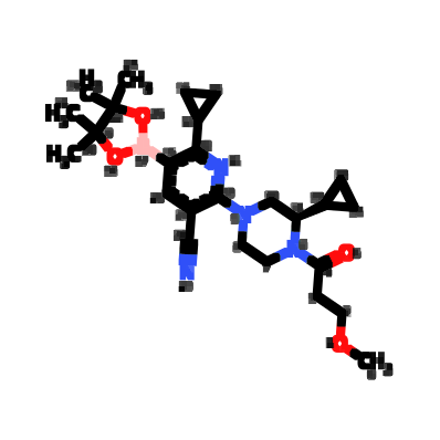 COCCC(=O)N1CCN(c2nc(C3CC3)c(B3OC(C)(C)C(C)(C)O3)cc2C#N)C[C@H]1C1CC1